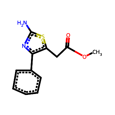 COC(=O)Cc1sc(N)nc1-c1ccccc1